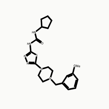 COc1cccc(CN2CCN(c3nnc(NC(=O)NC4CCCC4)s3)CC2)c1